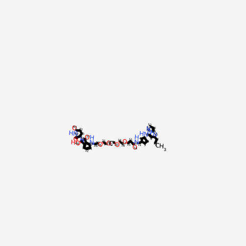 CCCc1cc(N[C@@H]2CCC(CNC(=O)CCOCCOCCOCCOCCNc3cccc4c3C(=O)N(C3CCC(=O)NC3=O)C4O)C2)n2nccc2n1